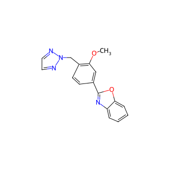 COc1cc(-c2nc3ccccc3o2)ccc1Cn1nccn1